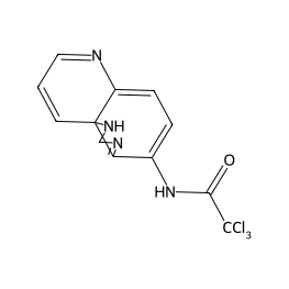 O=C(NC1=CC=C2N=CC=CC23NCN=C13)C(Cl)(Cl)Cl